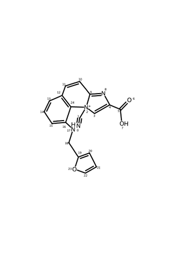 N#C[N+]12C=C(C(=O)O)N=C1C=Cc1cccc(NCc3ccco3)c12